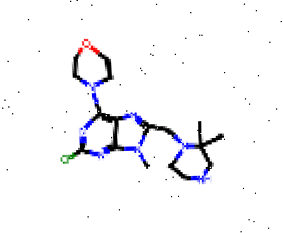 Cn1c(CN2CCNCC2(C)C)nc2c(N3CCOCC3)nc(Cl)nc21